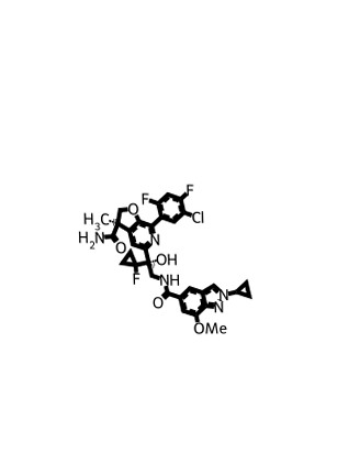 COc1cc(C(=O)NC[C@](O)(c2cc3c(c(-c4cc(Cl)c(F)cc4F)n2)OC[C@]3(C)C(N)=O)C2(F)CC2)cc2cn(C3CC3)nc12